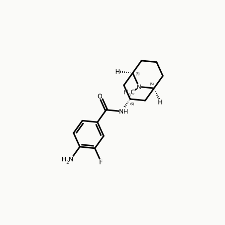 CN1[C@@H]2CCC[C@H]1C[C@H](NC(=O)c1ccc(N)c(F)c1)C2